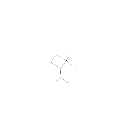 CN(C)C1C[N]C1(C)C